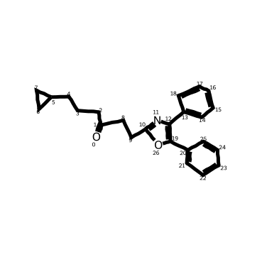 O=C(CCCC1CC1)CCc1nc(-c2ccccc2)c(-c2ccccc2)o1